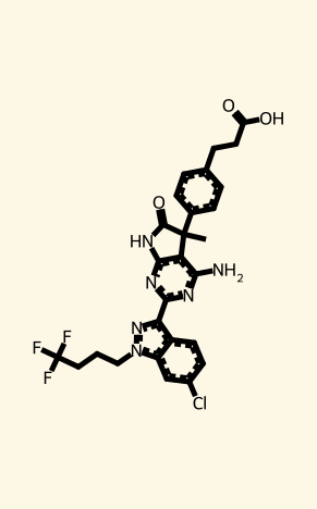 CC1(c2ccc(CCC(=O)O)cc2)C(=O)Nc2nc(-c3nn(CCCC(F)(F)F)c4cc(Cl)ccc34)nc(N)c21